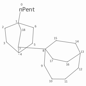 CCCCCC12CC[C](CC1)C(C13CCCCC(CC1)CC3)C2